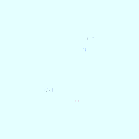 CCCN1CCC(C(=O)NC)CC1